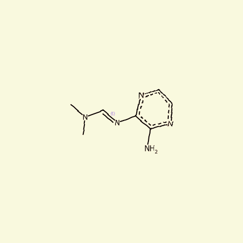 CN(C)/C=N/c1nccnc1N